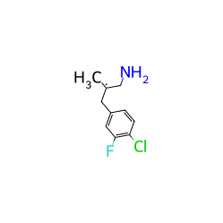 C[C](CN)Cc1ccc(Cl)c(F)c1